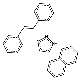 C(=Cc1ccccc1)c1ccccc1.c1c[nH]nn1.c1ccc2ccccc2c1